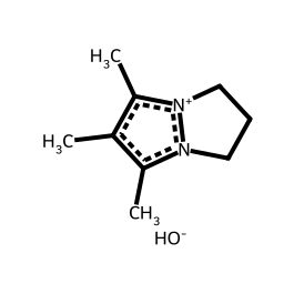 Cc1c(C)n2[n+](c1C)CCC2.[OH-]